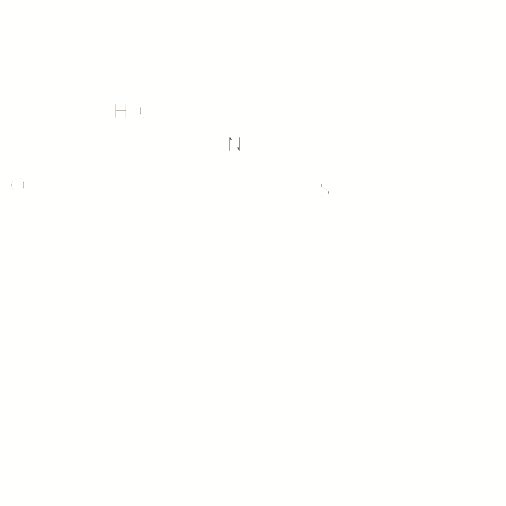 Cc1nc2sc(-c3ccccc3)cc2c(-c2ccccc2)c1CC=O